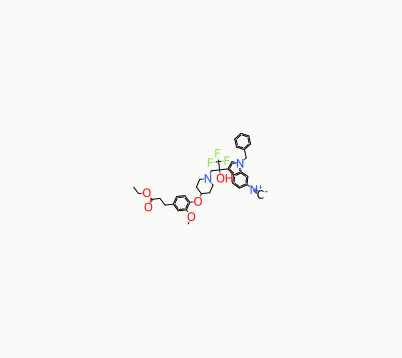 [C-]#[N+]c1ccc2c(C(O)(CN3CCC(Oc4ccc(CCC(=O)OCC)cc4OC)CC3)C(F)(F)F)cn(Cc3ccccc3)c2c1